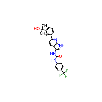 CC(C)(O)c1cccc(-c2ccc3c(NC(=O)Nc4ccc(C(F)(F)F)cc4)c[nH]c3n2)c1